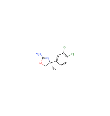 CC[C@]1(c2ccc(Cl)c(Cl)c2)COC(N)=N1